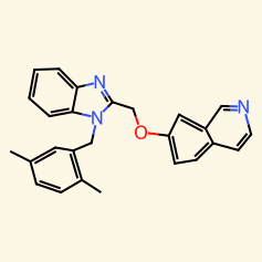 Cc1ccc(C)c(Cn2c(COc3ccc4ccncc4c3)nc3ccccc32)c1